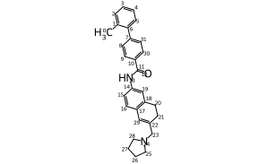 Cc1ccccc1-c1ccc(C(=O)Nc2ccc3c(c2)CCC(CN2CCCC2)=C3)cc1